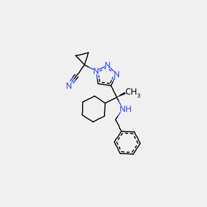 C[C@](NCc1ccccc1)(c1cn(C2(C#N)CC2)nn1)C1CCCCC1